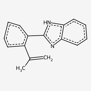 C=C(C)c1ccccc1-c1nc2ccccc2[nH]1